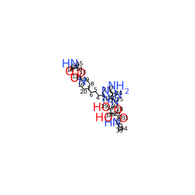 Nc1nc(CCCC2CCN(C(=O)OC3CNC3=O)CC2)nc2c1ncn2[C@@H]1O[C@H](C(=O)NC2CC2)[C@H](O)C1O